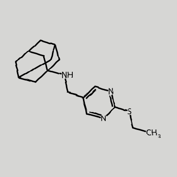 CCSc1ncc(CNC23CC4CC(CC(C4)C2)C3)cn1